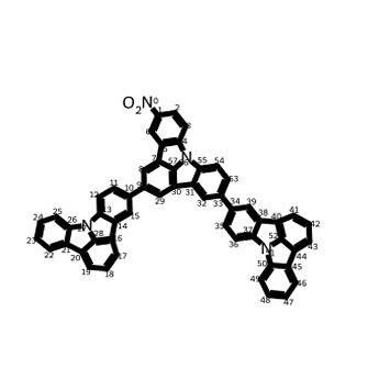 O=[N+]([O-])c1ccc2c(c1)c1cc(-c3ccc4c(c3)c3cccc5c6ccccc6n4c53)cc3c4cc(-c5ccc6c(c5)c5cccc7c8ccccc8n6c75)ccc4n2c31